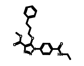 CCNC(=O)c1ccc(-n2nnc(C(=O)OC)c2OCCCc2ccccc2)cc1